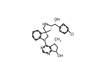 C[C@@H]1C[C@@H](O)c2ncnc(N3C[C@]4(CN[C@H]([C@H](O)c5ccc(Cl)cc5)C4)c4ccccc43)c21